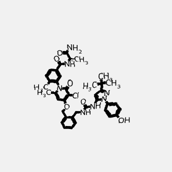 Cc1ccc(C(=O)N[C@H](C)C(N)=O)cc1-n1c(C)cc(OCc2ccccc2CNC(=O)Nc2cc(C(C)(C)C)nn2-c2ccc(O)cc2)c(Cl)c1=O